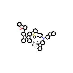 C=C/C=C(\C=C/Cc1cccc2c1sc1c3c(ccc12)C1(c2ccccc2-c2ccc(-c4cccc5c4oc4ccccc45)cc21)c1ccccc1-3)N(c1ccc2c(c1)C(C)(C)c1ccccc1-2)C1C=C2Cc3ccccc3C2=CC1